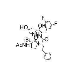 CC[C@@H](C)C1(NC(C)=O)CCN(C(CCc2ccccc2)C(=O)N[C@@H](Cc2cc(F)cc(F)c2)[C@H](O)[C@H]2C[C@H](O)CN2)C1=O